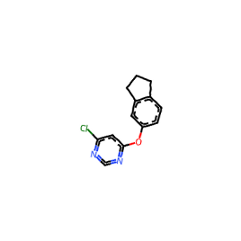 Clc1cc(Oc2ccc3c(c2)CCC3)ncn1